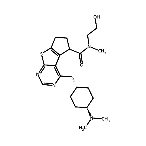 CN(CCO)C(=O)C1CCc2sc3ncnc(C[C@H]4CC[C@H](N(C)C)CC4)c3c21